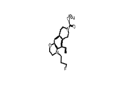 C=Cc1c2c(cc3c1N(CCCF)CCO3)CCN(C(=O)OC(C)(C)C)CC2